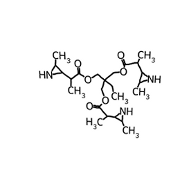 CCC(COC(=O)C(C)C1NC1C)(COC(=O)C(C)C1NC1C)COC(=O)C(C)C1NC1C